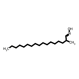 CCCCCCCCCCCCCCCC(C)C=NO